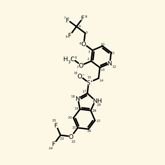 COc1c(OCC(F)(F)F)ccnc1C[S+]([O-])c1nc2cc(OC(F)F)ccc2[nH]1